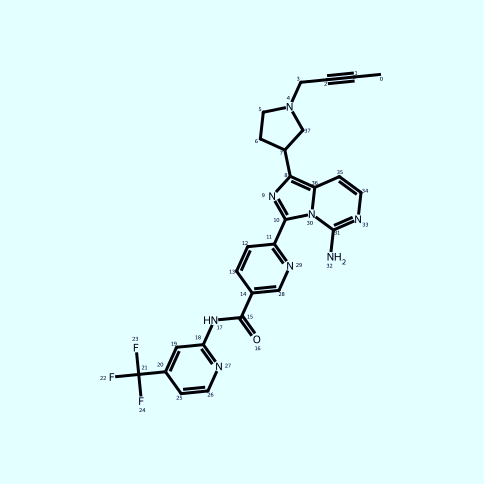 CC#CCN1CCC(c2nc(-c3ccc(C(=O)Nc4cc(C(F)(F)F)ccn4)cn3)n3c(N)nccc23)C1